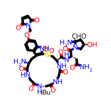 CC[C@H](C)[C@@H]1NC(=O)CNC(=O)[C@@H](N)Cc2c([nH]c3cc(OCN4C(=O)C=CC4=O)ccc23)S(=O)(=O)C[C@@H](C(=O)N[C@@H](CC(N)=O)C(=O)N2C[C@H](O)C[C@@]2(N)C=O)NC(=O)CNC1=O